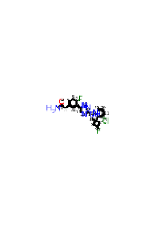 NC(=O)Cc1ccc(F)c(-c2cnc(NCC3(c4ncccc4Cl)CC(F)C3)nn2)c1